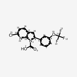 O=C(O)n1c(-c2cccc(OC(F)(F)F)c2)cc2ccc(Cl)nc21